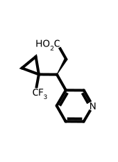 O=C(O)C[C@@H](c1cccnc1)C1(C(F)(F)F)CC1